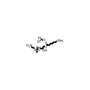 CCCCCCCCCCCCCCCC(=O)OC[C@@H](O)COP(=O)(O)OCCN.CCN(CC)CC